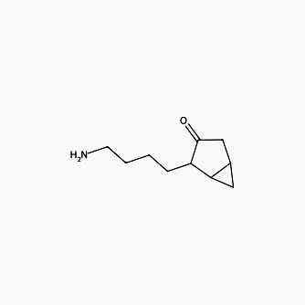 NCCCCC1C(=O)CC2CC21